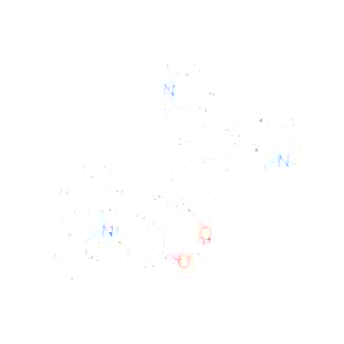 c1cncc(-c2cc(-c3cccnc3)cc(-c3ccc4c(c3)OCOc3ccc(-n5c6ccccc6c6ccccc65)cc3-4)c2)c1